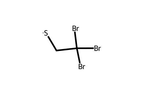 [S]CC(Br)(Br)Br